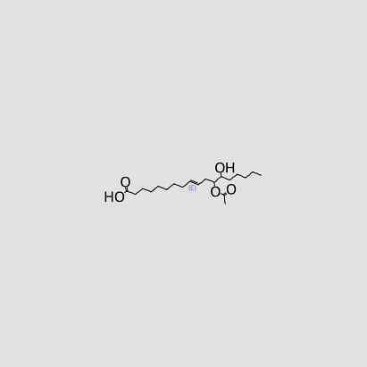 CCCCCC(O)C(C/C=C/CCCCCCCC(=O)O)OC(C)=O